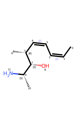 C/C=C\C=C/[C@@H](C)[C@H](O)[C@H](C)N